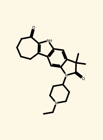 CCN1CCC(N2C(=O)C(C)(C)c3cc4[nH]c5c(c4cc32)CCCCC5=O)CC1